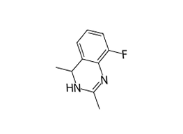 CC1=Nc2c(F)cccc2C(C)N1